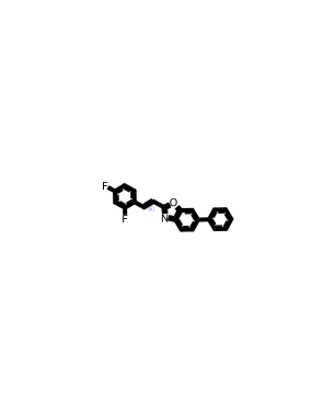 Fc1ccc(/C=C/c2nc3ccc(-c4ccccc4)cc3o2)c(F)c1